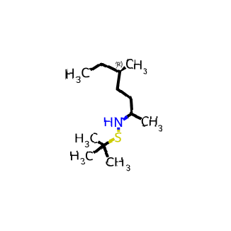 CC[C@@H](C)CCC(C)NSC(C)(C)C